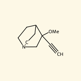 C#CC1(OC)CN2CCC1CC2